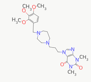 COc1ccc(CN2CCCN(CCCn3cnc4c3c(=O)n(C)c(=O)n4C)CC2)c(OC)c1OC